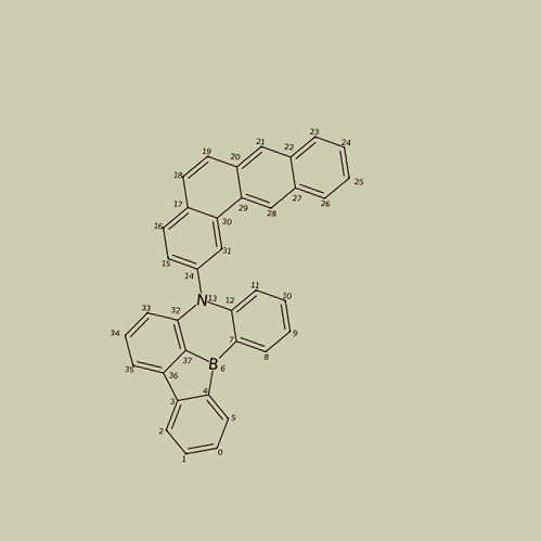 c1ccc2c(c1)B1c3ccccc3N(c3ccc4ccc5cc6ccccc6cc5c4c3)c3cccc-2c31